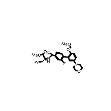 COCOc1ccc(N2CCOCC2)cc1-c1ccc(C(N[C@@H](CC(C)C)C(=O)OC)C(F)(F)F)cc1F